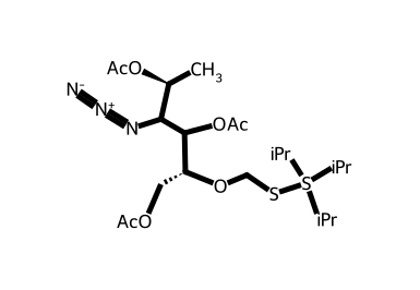 CC(=O)OC[C@@H](OCSS(C(C)C)(C(C)C)C(C)C)C(OC(C)=O)C(N=[N+]=[N-])[C@H](C)OC(C)=O